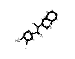 CC(C(=O)c1ccc(O)c(F)c1)c1cnc2ccccc2c1